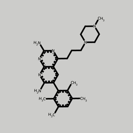 Cc1cc(C)c(C)c(-c2cc3c(CCCN4CCN(C)CC4)nc(N)nc3nc2N)c1C